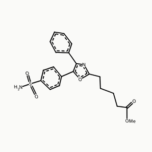 COC(=O)CCCCc1nc(-c2ccccc2)c(-c2ccc(S(N)(=O)=O)cc2)o1